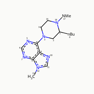 CCCCC1CN(c2ncnc3c2ncn3C)CCN1NC